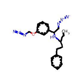 CCC(CCc1ccccc1)NC(CN=[N+]=[N-])c1cccc(OCN=[N+]=[N-])c1